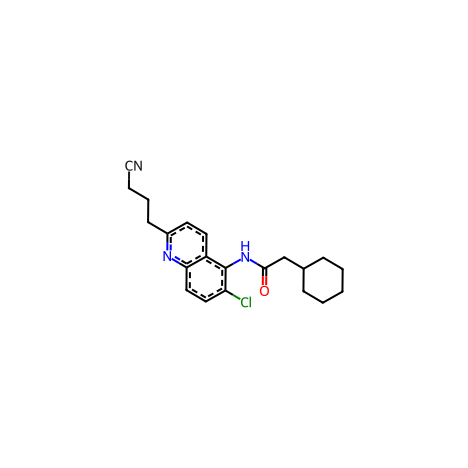 N#CCCCc1ccc2c(NC(=O)CC3CCCCC3)c(Cl)ccc2n1